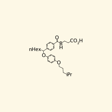 CCCCCCC(Oc1ccc(OCCCC(C)C)cc1)c1ccc(C(=O)BCCC(=O)O)cc1